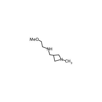 COCCNCC1CN(C)C1